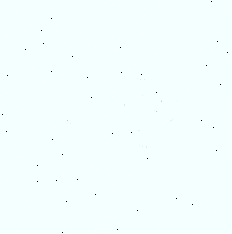 CN(C)CCCOC(=O)Nc1cccc(Cn2nc(-c3ccc(F)cc3F)ccc2=O)c1